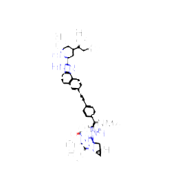 C=C(CC(C)C)C1C[C@@H](c2nc3c(ccc4cc(C#Cc5ccc(/C(=C/NCC6C[C@H]7CC7N6C(=C)[C@@H](NC(=O)OC)C(C)C)NC)cc5)ccc43)[nH]2)N[C@@H](C)C1